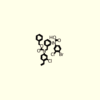 C=Cc1ccc(N(Cc2ccccc2)C(=O)OCc2ccccc2)cc1Cl.O=C(O)Nc1ccc(Br)c(Cl)c1